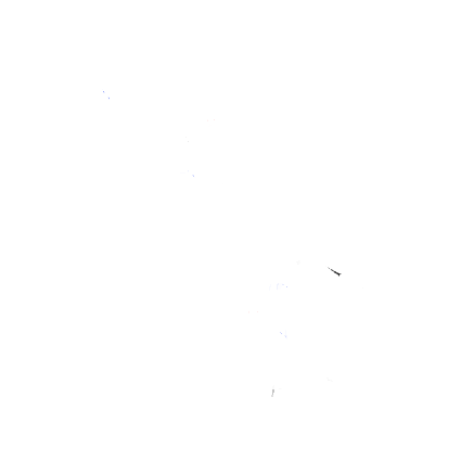 CC(C)CN(CC(C)C)S(=O)(=O)N[C@@H](Cc1ccc(NC(=O)c2c(Cl)cncc2Cl)cc1)C(=O)O